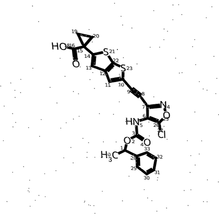 CC(OC(=O)Nc1c(C#Cc2cc3cc(C4(C(=O)O)CC4)sc3s2)noc1Cl)c1ccccc1